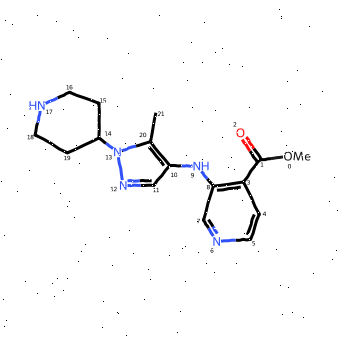 COC(=O)c1ccncc1Nc1cnn(C2CCNCC2)c1C